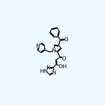 O=C(c1ccccc1)c1cc(C(=O)C=C(O)c2nc[nH]n2)n(Cc2ccncc2)c1